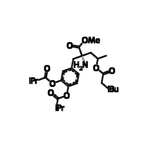 CCC(C)CC(=O)OC(C)C[C@@](N)(Cc1ccc(OC(=O)C(C)C)c(OC(=O)C(C)C)c1)C(=O)OC